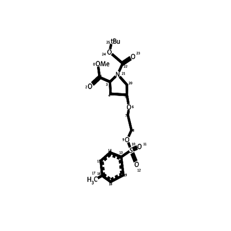 COC(=O)C1CC(OCCOS(=O)(=O)c2ccc(C)cc2)CN1C(=O)OC(C)(C)C